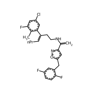 C=C(NCC/C(=C/CCC)c1cc(Cl)cc(F)c1C)c1cc(Cc2cc(F)ccc2F)on1